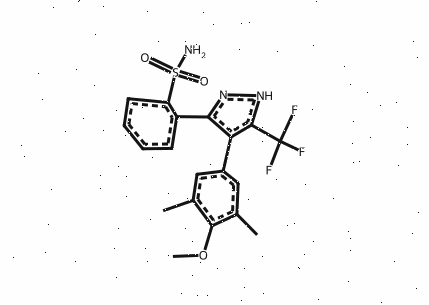 COc1c(C)cc(-c2c(-c3ccccc3S(N)(=O)=O)n[nH]c2C(F)(F)F)cc1C